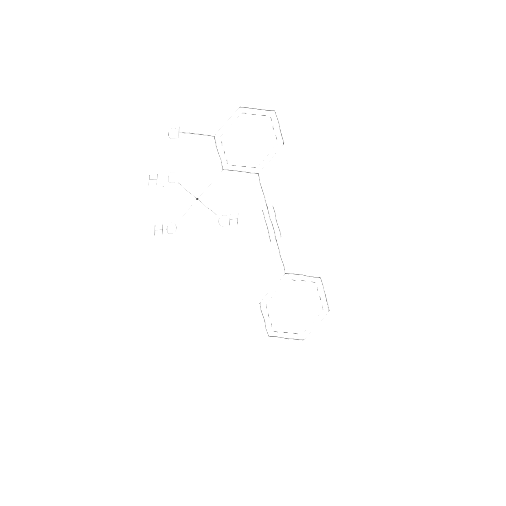 CC(C)(O)c1c(Cl)cccc1C#Cc1ccccc1